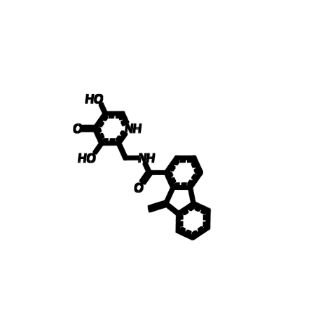 C=C1c2ccccc2-c2cccc(C(=O)NCc3[nH]cc(O)c(=O)c3O)c21